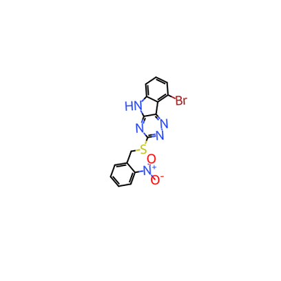 O=[N+]([O-])c1ccccc1CSc1nnc2c(n1)[nH]c1cccc(Br)c12